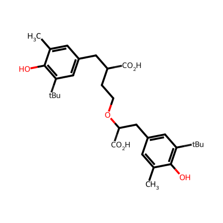 Cc1cc(CC(CCOC(Cc2cc(C)c(O)c(C(C)(C)C)c2)C(=O)O)C(=O)O)cc(C(C)(C)C)c1O